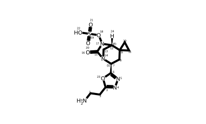 NCCc1nnc([C@@H]2CC3(CC3)[C@@H]3CN2C(=O)N3OS(=O)(=O)O)o1